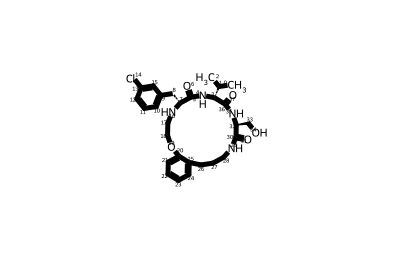 CC(C)[C@H]1NC(=O)[C@@H](Cc2cccc(Cl)c2)NCCOc2ccccc2CCCNC(=O)[C@H](CO)NC1=O